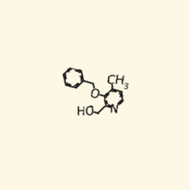 Cc1ccnc(CO)c1OCc1ccccc1